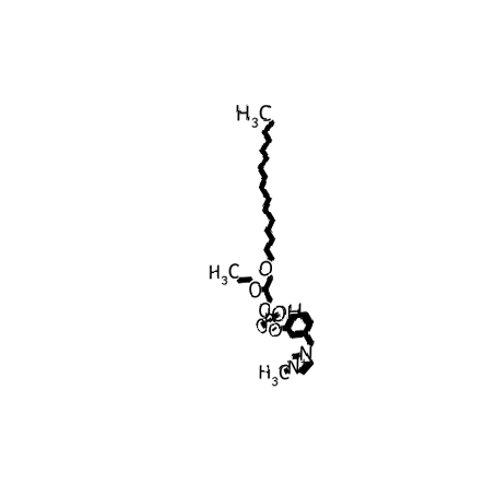 CCCCCCCCCCCCCCCCOCC(COP(=O)(O)Oc1cccc(Cn2cc[n+](C)c2)c1)OCCC